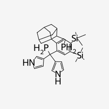 C[Si](C)(C)c1cc(C(P)(c2cc[nH]c2)c2cc[nH]c2)c(C23CC4CC(CC(C4)C2CP)C3)cc1[Si](C)(C)C